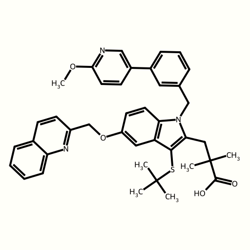 COc1ccc(-c2cccc(Cn3c(CC(C)(C)C(=O)O)c(SC(C)(C)C)c4cc(OCc5ccc6ccccc6n5)ccc43)c2)cn1